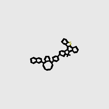 CC1(C)c2cc(-c3ccc(-c4ccccccc(-c5ccc6ccccc6c5)c5ccccc45)cc3)ccc2-c2c1c1ccccc1c1sc3ccccc3c21